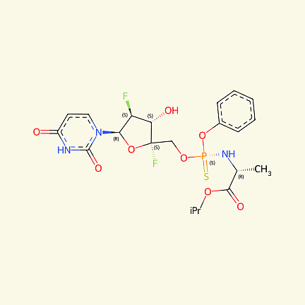 CC(C)OC(=O)[C@@H](C)N[P@](=S)(OC[C@@]1(F)O[C@@H](n2ccc(=O)[nH]c2=O)[C@@H](F)[C@@H]1O)Oc1ccccc1